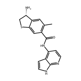 Cc1cc2c(cc1C(=O)Nc1ccnc3[nH]ccc13)SC[C@@H]2N